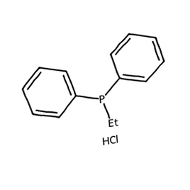 CCP(c1ccccc1)c1ccccc1.Cl